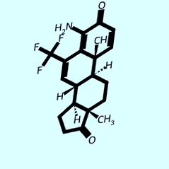 C[C@]12C=CC(=O)C(N)=C1C(C(F)(F)F)=C[C@@H]1[C@@H]2CC[C@]2(C)C(=O)CC[C@@H]12